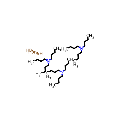 Br.Br.Br.CCCCN(CCCC)CCCC.CCCCN(CCCC)CCCC.CCCCN(CCCC)CCCC